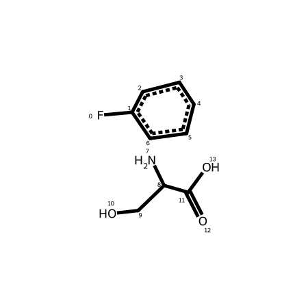 Fc1ccccc1.NC(CO)C(=O)O